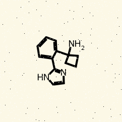 NC1(c2ccccc2-c2ncc[nH]2)CCC1